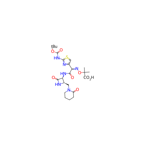 CC(C)(C)OC(=O)Nc1nc(/C(=N/OC(C)(C)C(=O)O)C(=O)N[C@@H]2C(=O)N[C@@H]2CN2CCCCC2=O)cs1